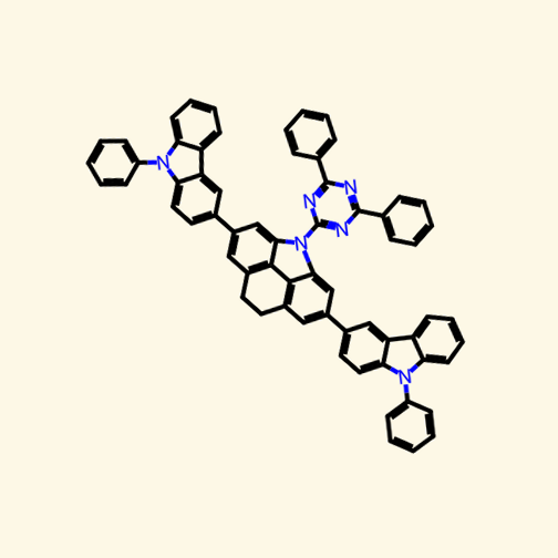 c1ccc(-c2nc(-c3ccccc3)nc(-n3c4cc(-c5ccc6c(c5)c5ccccc5n6-c5ccccc5)cc5c4c4c(cc(-c6ccc7c(c6)c6ccccc6n7-c6ccccc6)cc43)CC5)n2)cc1